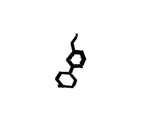 FCc1ccnc(N2CCNCC2)n1